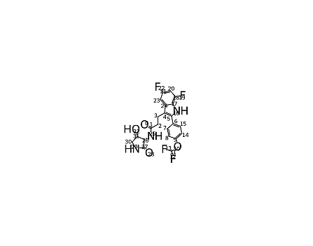 O=C(CCc1c(-c2ccc(OC(F)F)cc2)[nH]c2c(F)cc(F)cc12)N[C@@H]1C(=O)NC[C@H]1O